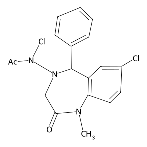 CC(=O)N(Cl)N1CC(=O)N(C)c2ccc(Cl)cc2C1c1ccccc1